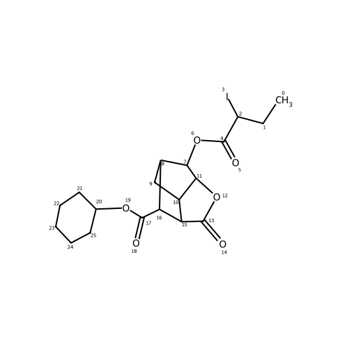 CCC(I)C(=O)OC1C2CC3C1OC(=O)C3C2C(=O)OC1CCCCC1